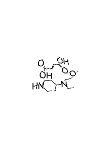 CCN(CCOC)C1CCNCC1.O=C(O)C=CC(=O)O